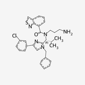 CC(C)[C@H](c1nc(-c2cccc(Cl)c2)cn1Cc1ccccc1)N(CCCN)C(=O)c1cccc2csnc12